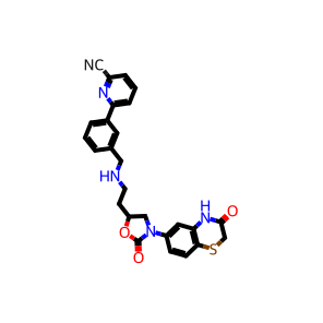 N#Cc1cccc(-c2cccc(CNCCC3CN(c4ccc5c(c4)NC(=O)CS5)C(=O)O3)c2)n1